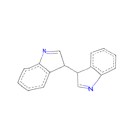 C1=Nc2ccccc2C1C1C=Nc2ccccc21